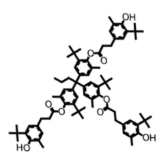 CCCC(c1cc(C)c(OC(=O)CCc2cc(C)c(O)c(C(C)(C)C)c2)c(C(C)(C)C)c1)(c1cc(C)c(OC(=O)CCc2cc(C)c(O)c(C(C)(C)C)c2)c(C(C)(C)C)c1)c1cc(C)c(OC(=O)CCc2cc(C)c(O)c(C(C)(C)C)c2)c(C(C)(C)C)c1